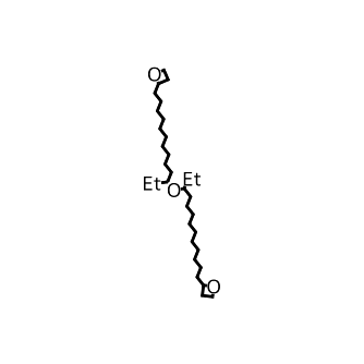 CCC(CCCCCCCCCCC1CCO1)OC(CC)CCCCCCCCCCC1CCO1